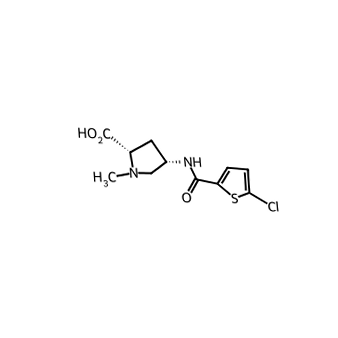 CN1C[C@@H](NC(=O)c2ccc(Cl)s2)C[C@H]1C(=O)O